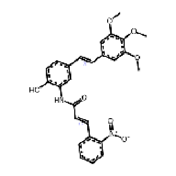 COc1cc(/C=C/c2ccc(O)c(NC(=O)/C=C/c3ccccc3[N+](=O)[O-])c2)cc(OC)c1OC